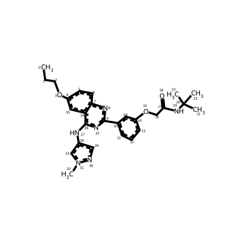 CCCOc1ccc2nc(-c3cccc(OCC(=O)NC(C)(C)C)c3)nc(Nc3cnn(C)c3)c2c1